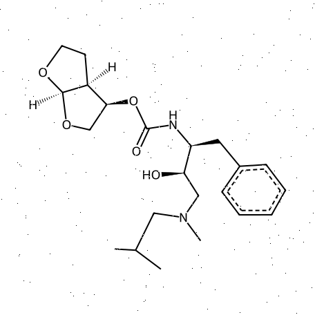 CC(C)CN(C)C[C@@H](O)[C@H](Cc1ccccc1)NC(=O)O[C@H]1CO[C@H]2OCC[C@H]21